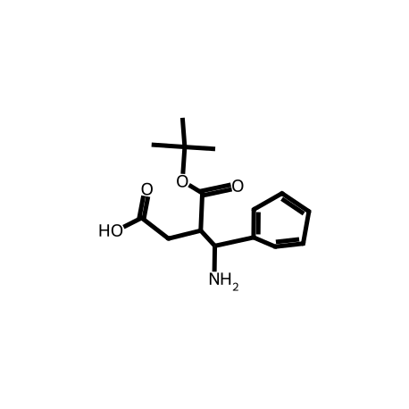 CC(C)(C)OC(=O)C(CC(=O)O)C(N)c1ccccc1